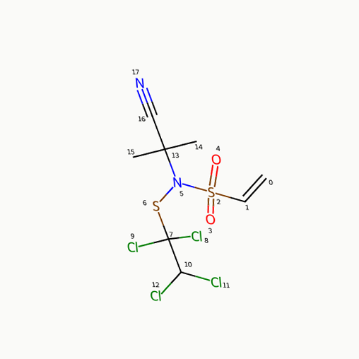 C=CS(=O)(=O)N(SC(Cl)(Cl)C(Cl)Cl)C(C)(C)C#N